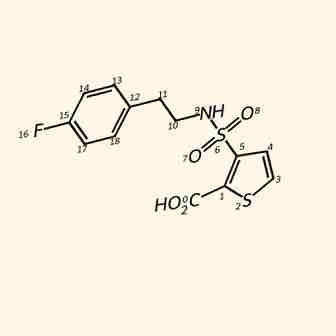 O=C(O)c1sccc1S(=O)(=O)NCCc1ccc(F)cc1